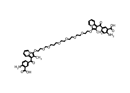 Cc1c(C(=O)c2ccc(N)c(C(=O)O)c2)c2ccccn2c1OCCOCCOCCOCCOCCCOCOCCOc1c(C)c(C(=O)c2ccc(N)c(C(=O)O)c2)c2ccccn12